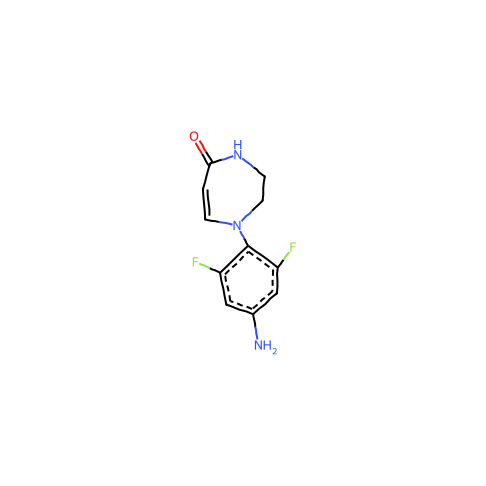 Nc1cc(F)c(N2C=CC(=O)NCC2)c(F)c1